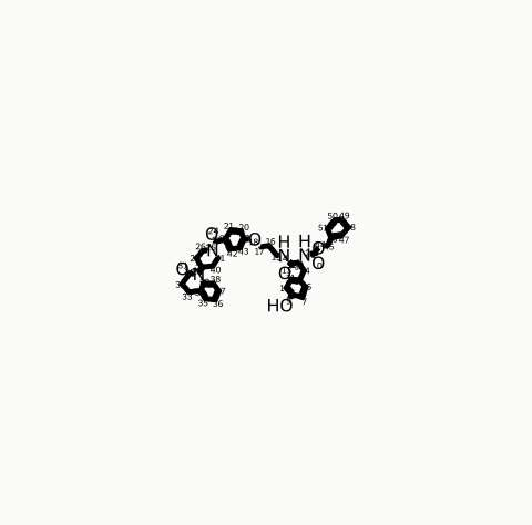 O=C(NC(Cc1ccc(O)cc1)C(=O)NCCCOc1ccc(C(=O)N2CCC(N3C(=O)CCc4ccccc43)CC2)cc1)OCc1ccccc1